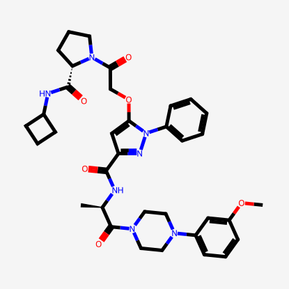 COc1cccc(N2CCN(C(=O)[C@@H](C)NC(=O)c3cc(OCC(=O)N4CCC[C@H]4C(=O)NC4CCC4)n(-c4ccccc4)n3)CC2)c1